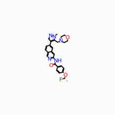 C[C@H](F)Oc1ccc(C(=O)Nc2cc3cc(-c4cnn(C)c4CN4CCOCC4)ccc3cn2)cc1